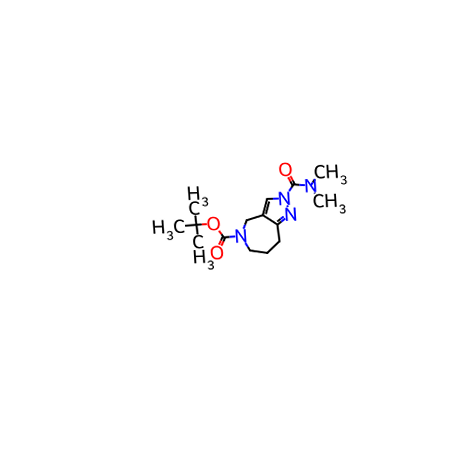 CN(C)C(=O)n1cc2c(n1)CCCN(C(=O)OC(C)(C)C)C2